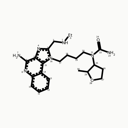 CCNCc1nc2c(N)nc3ccccc3c2n1CCCCN(C(N)=O)C1CCOC1C